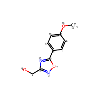 [O]Cc1noc(-c2ccc(OC(F)(F)F)cc2)n1